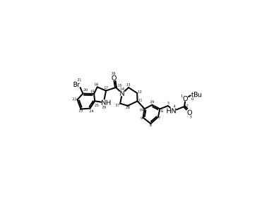 CC(C)(C)OC(=O)NCc1cccc(C2CCN(C(=O)C3Cc4c(Br)cccc4N3)CC2)c1